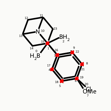 BC(B)(c1ccc(OC)nc1)N1C2CC1CN(c1cnc(Cl)cn1)C2